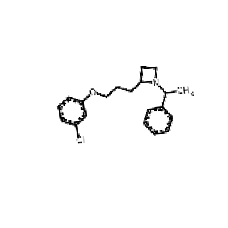 CC(c1ccccc1)N1CCC1CCCOc1cccc(Cl)c1